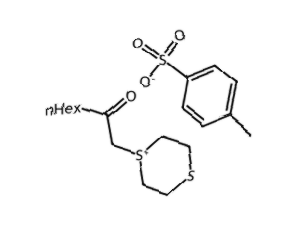 CCCCCCC(=O)C[S+]1CCSCC1.Cc1ccc(S(=O)(=O)[O-])cc1